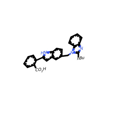 CCCCc1nc2ccccc2n1Cc1ccc2[nH]c(-c3ccccc3C(=O)O)cc2c1